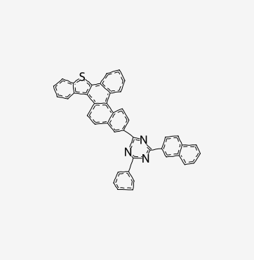 c1ccc(-c2nc(-c3ccc4ccccc4c3)nc(-c3ccc4c(ccc5c4c4ccccc4c4sc6ccccc6c54)c3)n2)cc1